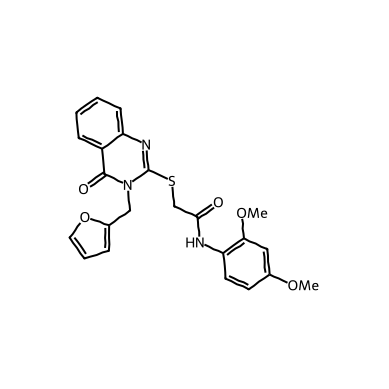 COc1ccc(NC(=O)CSc2nc3ccccc3c(=O)n2Cc2ccco2)c(OC)c1